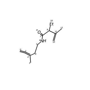 C=C=C(C)CCNC(=O)C(CC)C(=C)C